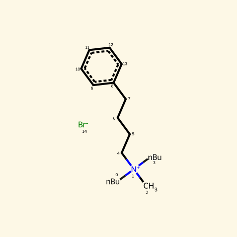 CCCC[N+](C)(CCCC)CCCCc1ccccc1.[Br-]